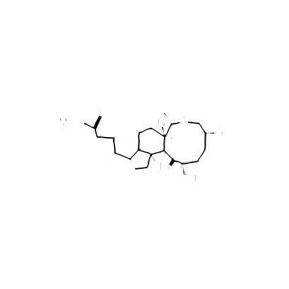 COC(=O)CC[C@@H](C)[C@H]1CC[C@H]2C3C(=O)[C@H](O)CC[C@H](O)CC[C@H](C)[C@H]3CC[C@]12C